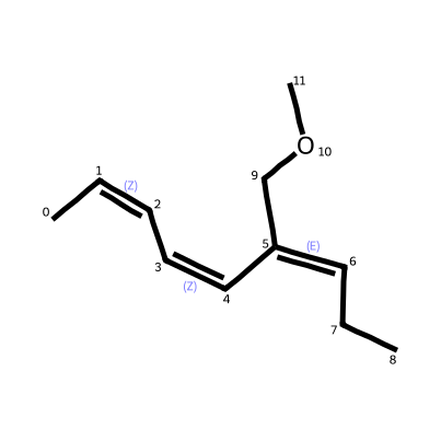 C\C=C/C=C\C(=C/CC)COC